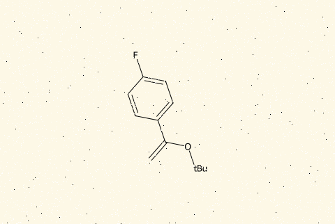 C=C(OC(C)(C)C)c1ccc(F)cc1